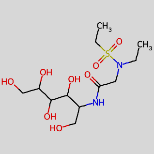 CCN(CC(=O)NC(CO)C(O)C(O)C(O)CO)S(=O)(=O)CC